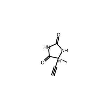 C#C[C@]1(C)NC(=O)NC1=O